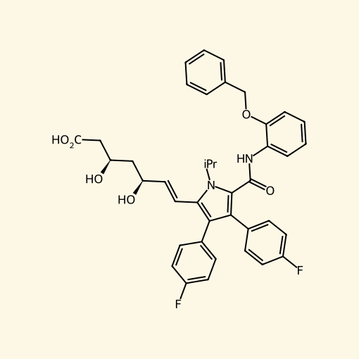 CC(C)n1c(C=C[C@@H](O)C[C@@H](O)CC(=O)O)c(-c2ccc(F)cc2)c(-c2ccc(F)cc2)c1C(=O)Nc1ccccc1OCc1ccccc1